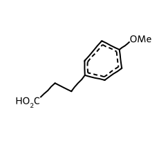 [CH2-][OH+]c1ccc(CCC(=O)O)cc1